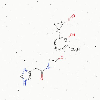 O=B[C@H]1C[C@H]1c1ccc(OC2CN(C(=O)Cc3c[nH]cn3)C2)c(C(=O)O)c1O